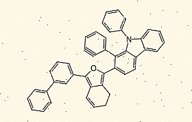 c1cccc(-c2c(-c3oc(-c4cccc(-c5ccccc5)c4)c4c3CCC=C4)ccc3c4ccccc4n(-c4ccccc4)c23)c#1